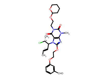 C/C=C/C([C@@H](C)Cl)n1c(OCCOc2cccc(C=O)c2)nc2c1c(=O)n(CCOC1CCCCO1)c(=O)n2C